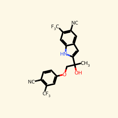 [C-]#[N+]c1cc2cc(C(C)(O)COc3ccc(C#N)c(C(F)(F)F)c3)[nH]c2cc1C(F)(F)F